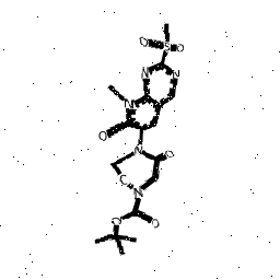 Cn1c(=O)c(N2CCN(C(=O)OC(C)(C)C)CC2=O)cc2cnc(S(C)(=O)=O)nc21